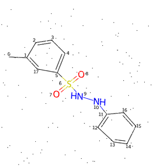 Cc1cccc(S(=O)(=O)NNc2ccccc2)c1